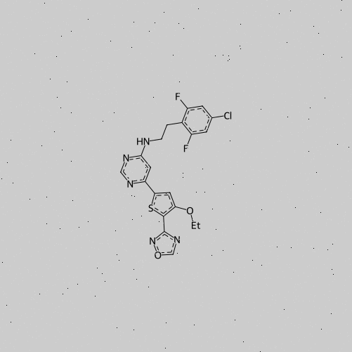 CCOc1cc(-c2cc(NCCc3c(F)cc(Cl)cc3F)ncn2)sc1-c1ncon1